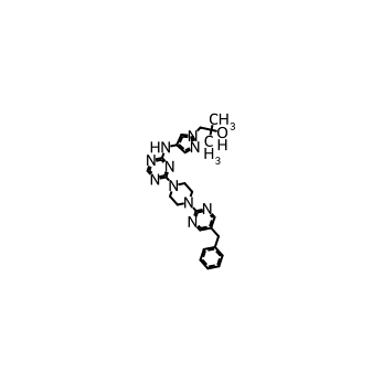 CC(C)(O)Cn1cc(Nc2ncnc(N3CCN(c4ncc(Cc5ccccc5)cn4)CC3)n2)cn1